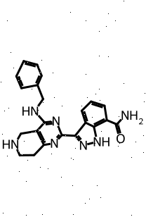 NC(=O)c1cccc2c(-c3nc4c(c(NCc5ccccc5)n3)CNCC4)n[nH]c12